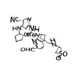 COC1CCCC1Nc1cc(NC(=O)N2c3nc(C=O)ccc3C3(CNC4CS(=O)(=O)C4)CC2C3)ncc1C#N